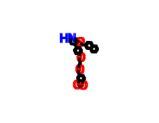 c1ccc2cc(COC3CNCCC3c3ccc(OCCCOCc4ccc5c(c4)OCO5)cc3)ccc2c1